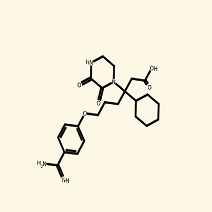 N=C(N)c1ccc(OCCCC(CC(=O)O)(C2CCCCC2)N2CCNC(=O)C2=O)cc1